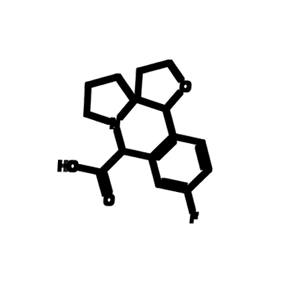 O=C(O)C(c1cc(F)ccc1C1CCCO1)N1CCCC1